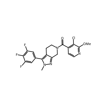 COc1nccc(C(=O)N2CCc3c(nn(C)c3-c3cc(F)c(F)c(F)c3)C2)c1Cl